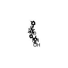 Cc1cccc(COc2nc(C)n(-c3cccc(-c4nc(C(C)(C)O)ncc4C)c3)c(=O)c2C)c1